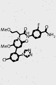 COCCC(C(=O)Nc1ccc(C(N)=O)c(F)c1)n1cc(OC)c(-c2cc(Cl)ccc2-n2cnnc2)cc1=O